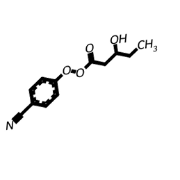 CCC(O)CC(=O)OOc1ccc(C#N)cc1